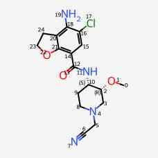 CO[C@@H]1CN(CC#N)CC[C@@H]1NC(=O)c1cc(Cl)c(N)c2c1OCC2